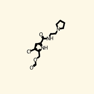 O=COCc1[nH]c(C(=O)NCCN2CCCC2)cc1Cl